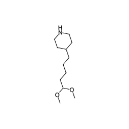 COC(CCCCC1CCNCC1)OC